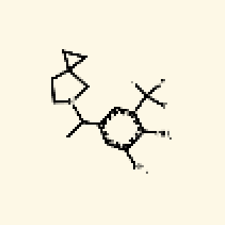 CC(c1cc(N)c(N)c(C(F)(F)F)c1)N1CCC2(CC2)C1